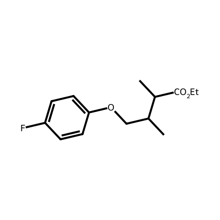 CCOC(=O)C(C)C(C)COc1ccc(F)cc1